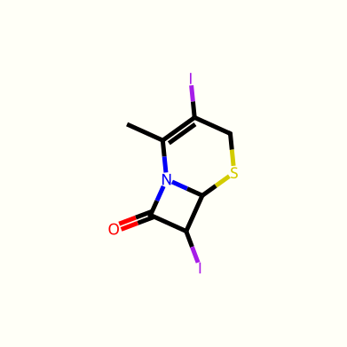 CC1=C(I)CSC2C(I)C(=O)N12